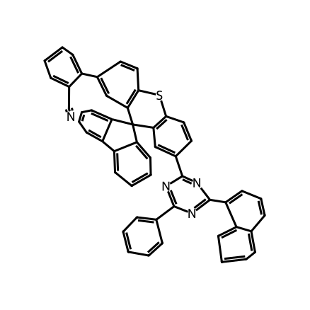 N#Cc1ccccc1-c1ccc2c(c1)C1(c3cc(-c4nc(-c5ccccc5)nc(-c5cccc6ccccc56)n4)ccc3S2)c2ccccc2-c2ccccc21